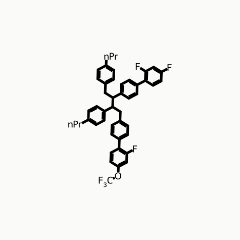 CCCc1ccc(CC(c2ccc(-c3ccc(F)cc3F)cc2)C(Cc2ccc(-c3ccc(OC(F)(F)F)cc3F)cc2)c2ccc(CCC)cc2)cc1